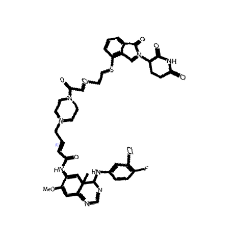 COC1=CC2=NC=NC(Nc3ccc(F)c(Cl)c3)C2(C)C=C1NC(=O)/C=C/CN1CCN(C(=O)COCCSc2cccc3c2CN(C2CCC(=O)NC2=O)C3=O)CC1